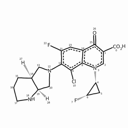 O=C(O)c1cn([C@@H]2C[C@@H]2F)c2c(Cl)c(N3C[C@@H]4CCCN[C@@H]4C3)c(F)cc2c1=O